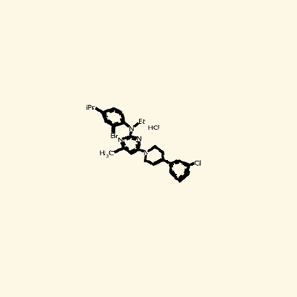 CCN(c1nc(C)cc(N2CC=C(c3cccc(Cl)c3)CC2)n1)c1ccc(C(C)C)cc1Br.Cl